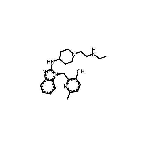 CCNCCN1CCC(Nc2nc3ccccc3n2Cc2nc(C)ccc2O)CC1